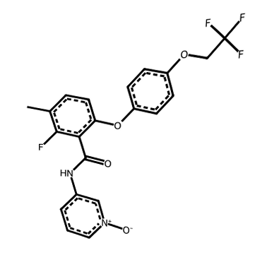 Cc1ccc(Oc2ccc(OCC(F)(F)F)cc2)c(C(=O)Nc2ccc[n+]([O-])c2)c1F